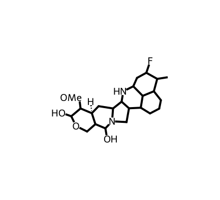 COC1C(O)OCC2C(O)N3CC4C5CCCC6C(C)C(F)CC(NC4C3C[C@@H]21)C65